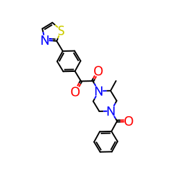 CC1CN(C(=O)c2ccccc2)CCN1C(=O)C(=O)c1ccc(-c2nccs2)cc1